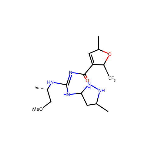 COC[C@H](C)N/C(=N/C(=O)C1=CC(C)OC1C(F)(F)F)NC1CC(C)NN1